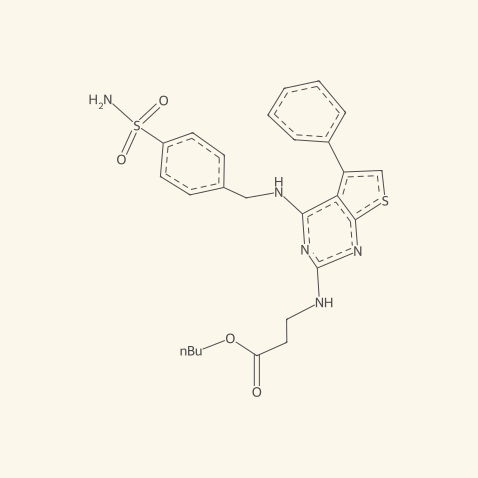 CCCCOC(=O)CCNc1nc(NCc2ccc(S(N)(=O)=O)cc2)c2c(-c3ccccc3)csc2n1